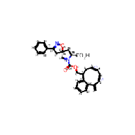 C=C1/C=C\C=C/CC(COC(=O)N2C[C@@]3(CC(c4ccccc4)=NO3)C[C@H]2C(=O)O)c2ccccc21